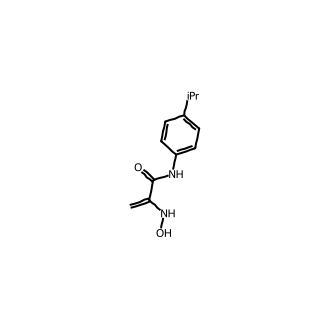 C=C(NO)C(=O)Nc1ccc(C(C)C)cc1